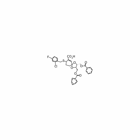 O=C(O)C1=CC2(CCC1SCc1ccc(F)cc1Cl)O[C@H](COC(=O)c1ccccc1)[C@@H](COC(=O)c1ccccc1)O2